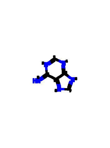 N=C1N=CN=C2N=CN=C12